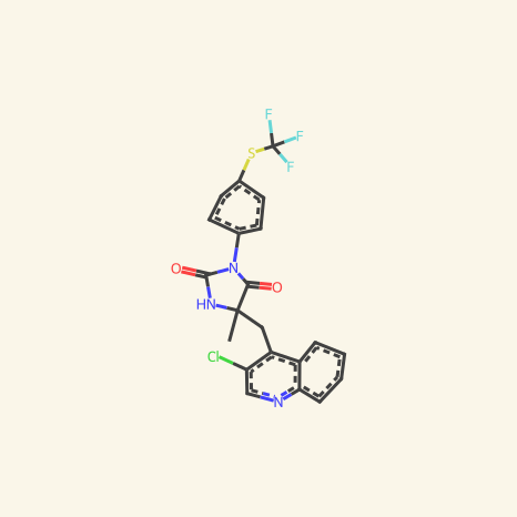 CC1(Cc2c(Cl)cnc3ccccc23)NC(=O)N(c2ccc(SC(F)(F)F)cc2)C1=O